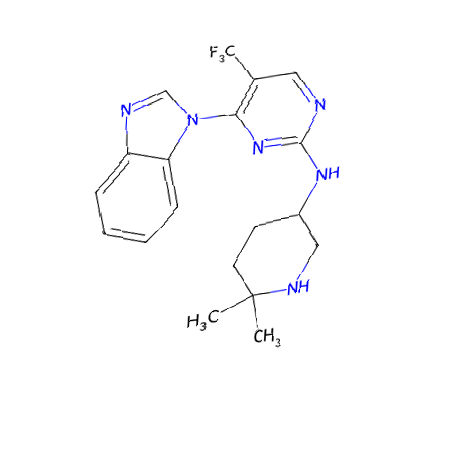 CC1(C)CCC(Nc2ncc(C(F)(F)F)c(-n3cnc4ccccc43)n2)CN1